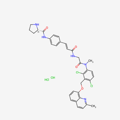 Cc1ccc2cccc(OCc3c(Cl)ccc(N(C)C(=O)CNC(=O)C=Cc4ccc(NC(=O)[C@@H]5CCCN5)cc4)c3Cl)c2n1.Cl.Cl